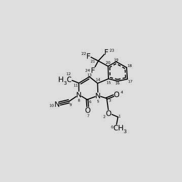 CCOC(=O)N1C(=O)N(C#N)C(C)=CC1c1ccccc1C(F)(F)F